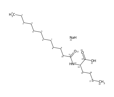 CCCCCCCCCCCC(=O)NC(CCSC)C(=O)O.[NaH]